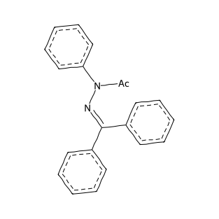 CC(=O)N(N=C(c1ccccc1)c1ccccc1)c1ccccc1